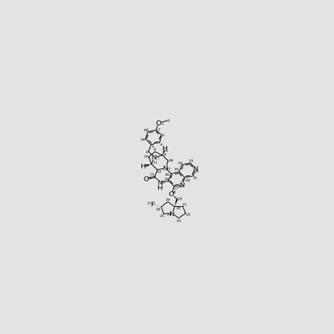 COc1ccc(CN2[C@@H]3CC[C@H]2C2C(=O)Nc4c(OC[C@@]56CCCN5C[C@H](F)C6)nc5cnccc5c4N2C3)cc1